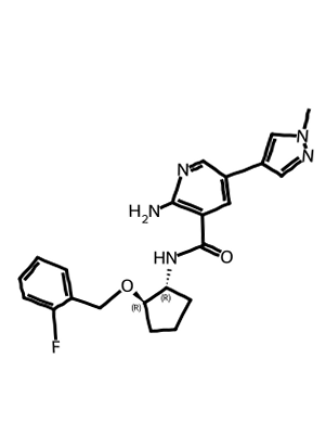 Cn1cc(-c2cnc(N)c(C(=O)N[C@@H]3CCC[C@H]3OCc3ccccc3F)c2)cn1